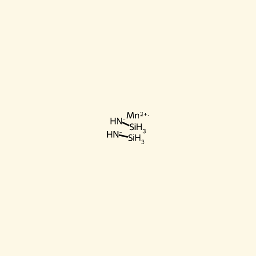 [Mn+2].[NH-][SiH3].[NH-][SiH3]